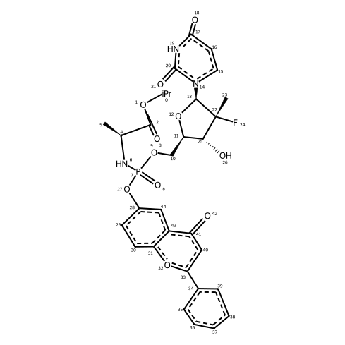 CC(C)OC(=O)[C@H](C)NP(=O)(OC[C@H]1O[C@@H](n2ccc(=O)[nH]c2=O)[C@](C)(F)[C@@H]1O)Oc1ccc2oc(-c3ccccc3)cc(=O)c2c1